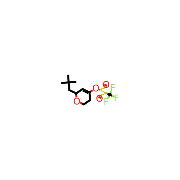 CC(C)(C)CC1C=C(OS(=O)(=O)C(F)(F)F)CCO1